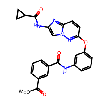 COC(=O)c1cccc(C(=O)Nc2cccc(Oc3ccc4nc(NC(=O)C5CC5)cn4n3)c2)c1